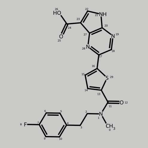 CN(CCc1ccc(F)cc1)C(=O)c1ccc(-c2cnc3[nH]cc(C(=O)O)c3n2)s1